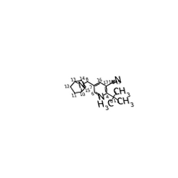 CC(C)(C)c1ncc(CN2C3CCC2CC3)cc1C#N